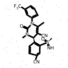 CC1=C(C#N)[C@@H](c2ccc(C#N)cc2[S@@](C)(=N)=O)N(C)C(=O)N1c1cccc(C(F)(F)F)c1